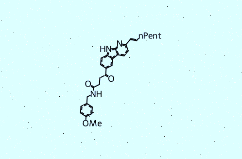 CCCCCC=Cc1ccc2c(n1)[nH]c1ccc(C(=O)CCC(=O)NCc3ccc(OC)cc3)cc12